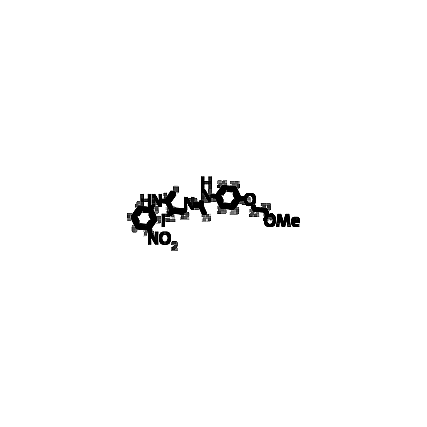 C=C(Nc1cccc([N+](=O)[O-])c1)/C(F)=C\N=C(/C)Nc1ccc(OCCOC)cc1